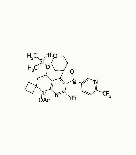 CC(=O)O[C@H]1c2nc(C(C)C)c3c(c2C(O[Si](C)(C)C(C)(C)C)CC12CCC2)C1(CCOCC1)O[C@@H]3c1ccc(C(F)(F)F)nc1